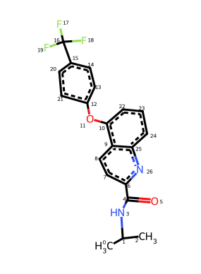 CC(C)NC(=O)c1ccc2c(Oc3ccc(C(F)(F)F)cc3)cccc2n1